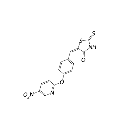 O=C1NC(=S)S/C1=C/c1ccc(Oc2ccc([N+](=O)[O-])cn2)cc1